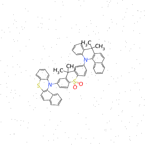 CC1(C)c2cc(N3c4ccccc4Sc4ccc5ccccc5c43)ccc2S(=O)(=O)c2ccc(N3c4ccccc4C(C)(C)c4ccc5ccccc5c43)cc21